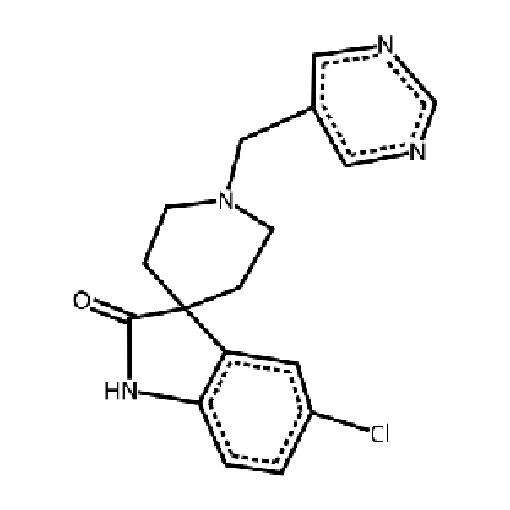 O=C1Nc2ccc(Cl)cc2C12CCN(Cc1cncnc1)CC2